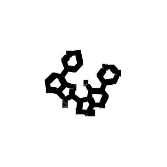 Fc1c(-c2cncnc2)cnc2[nH]nc(-c3nc4c(-c5cccnc5)ccnc4[nH]3)c12